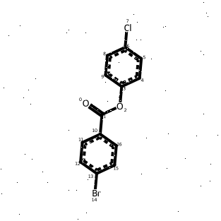 O=C(Oc1ccc(Cl)cc1)c1ccc(Br)cc1